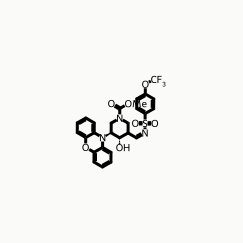 COC(=O)N1CC(/C=N\S(=O)(=O)c2ccc(OC(F)(F)F)cc2)[C@H](O)[C@@H](N2c3ccccc3Oc3ccccc32)C1